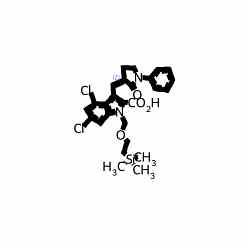 C[Si](C)(C)CCOCn1c(C(=O)O)c(/C=C2/CCN(c3ccccc3)C2=O)c2c(Cl)cc(Cl)cc21